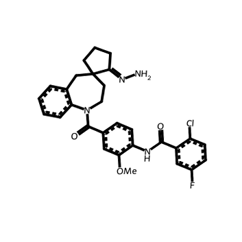 COc1cc(C(=O)N2CCC3(CCCC3=NN)Cc3ccccc32)ccc1NC(=O)c1cc(F)ccc1Cl